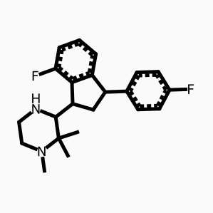 CN1CCNC(C2CC(c3ccc(F)cc3)c3cccc(F)c32)C1(C)C